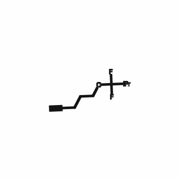 C#CCCCOC(F)(F)C(C)C